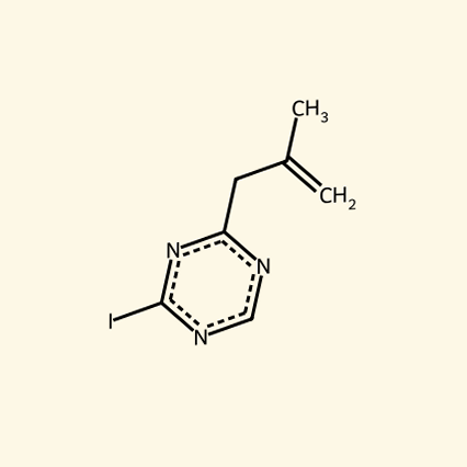 C=C(C)Cc1ncnc(I)n1